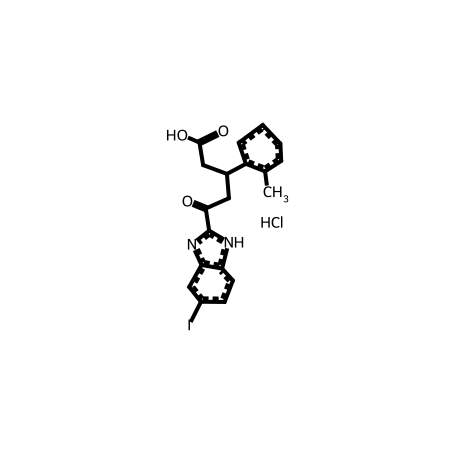 Cc1ccccc1C(CC(=O)O)CC(=O)c1nc2cc(I)ccc2[nH]1.Cl